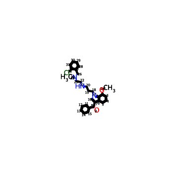 COc1cccc2c(C(=O)c3ccccc3)cn(CCCNCCN(C)Cc3ccccc3Cl)c12